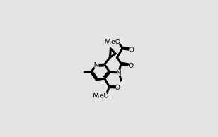 COC(=O)CC(=O)N(C)c1c(C(=O)OC)cc(C)nc1C1CC1